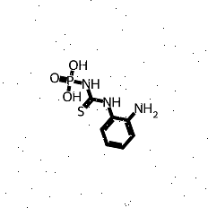 Nc1ccccc1NC(=S)NP(=O)(O)O